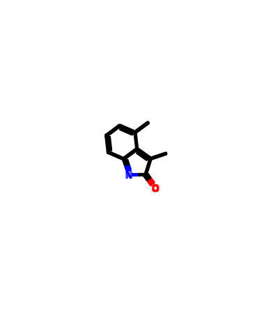 CC1=c2c(C)cccc2=NC1=O